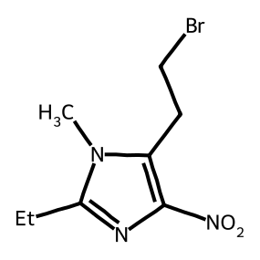 CCc1nc([N+](=O)[O-])c(CCBr)n1C